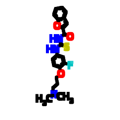 CN(C)CCCOc1ccc(NC(=S)NC(=O)c2cc3ccccc3o2)cc1F